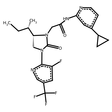 CC[C@H](C)[C@H]1CN(c2ncc(C(F)(F)F)cc2F)C(=O)N1CC(=O)Nc1cc(C2CC2)ccn1